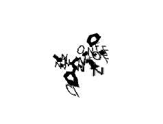 Cc1nnn(C2C[N+](CC#N)(C(=O)N(OC(F)(F)F)c3ccccc3)N=C2c2ccc(Cl)cc2)n1